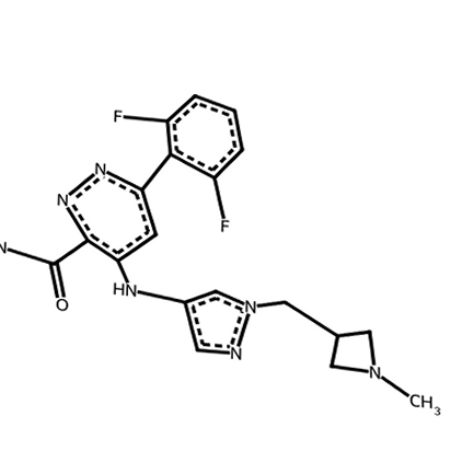 CN1CC(Cn2cc(Nc3cc(-c4c(F)cccc4F)nnc3C(N)=O)cn2)C1